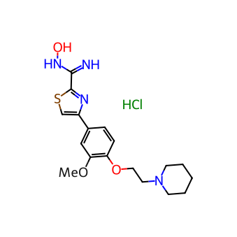 COc1cc(-c2csc(C(=N)NO)n2)ccc1OCCN1CCCCC1.Cl